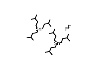 CC(C)C[CH2][Sn+]([CH2]CC(C)C)[CH2]CC(C)C.CC(C)C[CH2][Sn+]([CH2]CC(C)C)[CH2]CC(C)C.[F-].[I-]